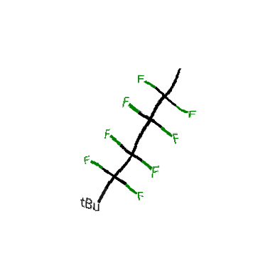 CC(C)(C)C(F)(F)C(F)(F)C(F)(F)C(C)(F)F